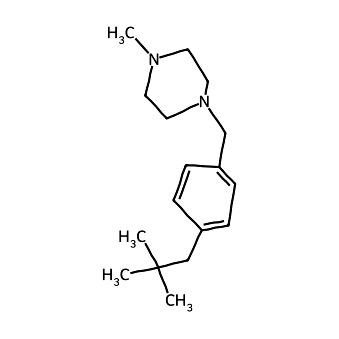 CN1CCN(Cc2ccc(CC(C)(C)C)cc2)CC1